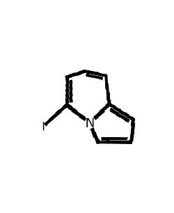 Ic1cccc2cccn12